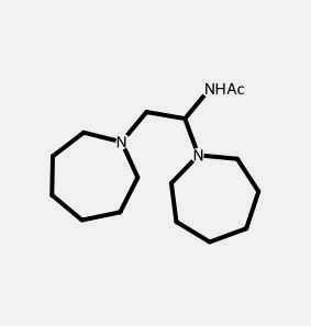 CC(=O)NC(CN1CCCCCC1)N1CCCCCC1